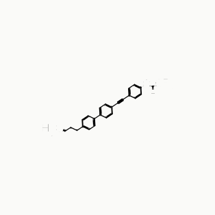 C=CCCc1ccc(-c2ccc(C#Cc3ccc(OC(F)C(F)(F)F)cc3)cc2)cc1